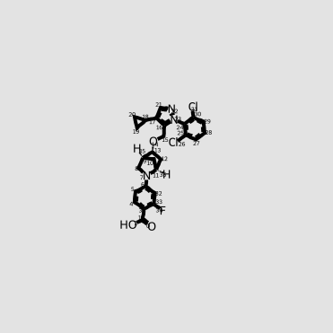 O=C(O)c1ccc(N2C[C@@H]3C[C@H]2C[C@H]3OCc2c(C3CC3)cnn2-c2c(Cl)cccc2Cl)cc1F